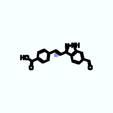 O=Cc1ccc2c(/C=C/c3ccc(C(=O)O)cc3)n[nH]c2c1